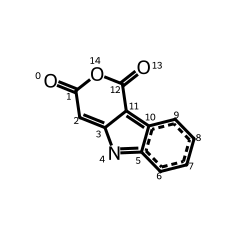 O=C1C=C2N=c3ccccc3=C2C(=O)O1